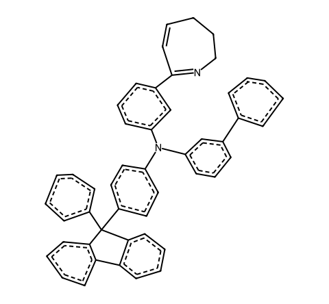 C1=CC(c2cccc(N(c3ccc(C4(c5ccccc5)c5ccccc5-c5ccccc54)cc3)c3cccc(-c4ccccc4)c3)c2)=NCCC1